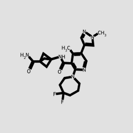 Cc1c(-c2cnn(C)c2)cnc(N2CCCC(F)(F)CC2)c1C(=O)NC12CC(C(N)=O)(C1)C2